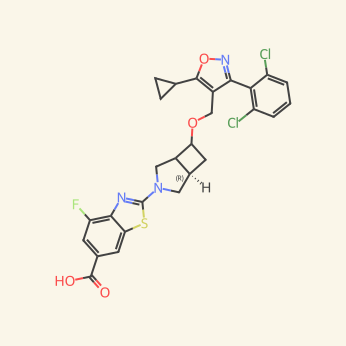 O=C(O)c1cc(F)c2nc(N3CC4C(OCc5c(-c6c(Cl)cccc6Cl)noc5C5CC5)C[C@H]4C3)sc2c1